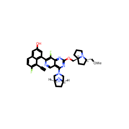 C#Cc1c(F)ccc2cc(O)cc(-c3ncc4c(N5C[C@H]6CC[C@@H](C5)N6)nc(OC[C@@]56CCCN5[C@H](COC)CC6)nc4c3F)c12